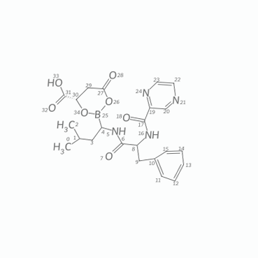 CC(C)CC(NC(=O)C(Cc1ccccc1)NC(=O)c1cnccn1)B1OC(=O)C[C@@H](C(=O)O)O1